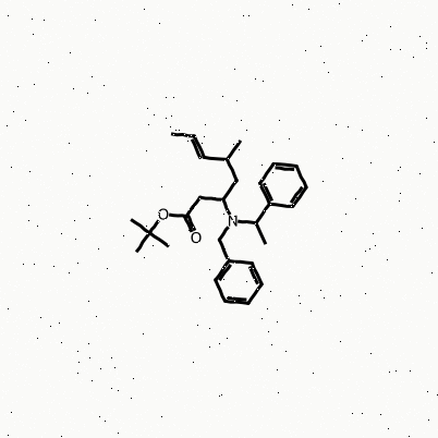 CC=CC(C)CC(CC(=O)OC(C)(C)C)N(Cc1ccccc1)C(C)c1ccccc1